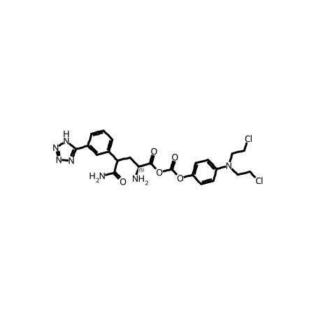 NC(=O)C(C[C@H](N)C(=O)OC(=O)Oc1ccc(N(CCCl)CCCl)cc1)c1cccc(-c2nnn[nH]2)c1